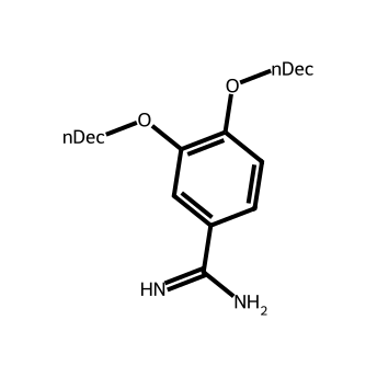 CCCCCCCCCCOc1ccc(C(=N)N)cc1OCCCCCCCCCC